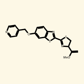 C=C(OC)C1CSC(c2nc3ccc(OCc4ccncc4)cc3s2)=N1